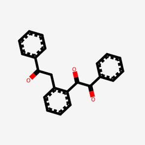 O=C(Cc1ccccc1C(=O)C(=O)c1ccccc1)c1ccccc1